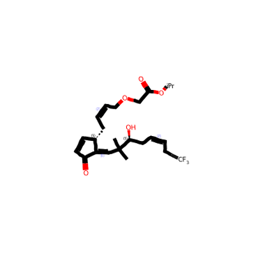 CC(C)OC(=O)COC/C=C\C[C@H]1C=CC(=O)/C1=C/C(C)(C)[C@@H](O)C/C=C\CC(F)(F)F